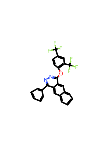 FC(F)(F)c1ccc(Oc2nnc(-c3ccccc3)c3cc4ccccc4cc23)c(C(F)(F)F)c1